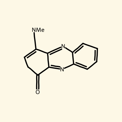 CNC1=CCC(=O)c2nc3ccccc3nc21